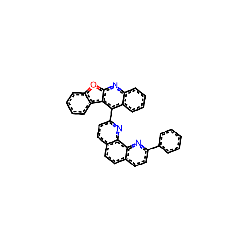 c1ccc(-c2ccc3ccc4ccc(-c5c6ccccc6nc6oc7ccccc7c56)nc4c3n2)cc1